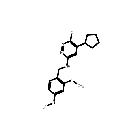 COc1ccc(CNc2cc(C3CCCC3)c(Cl)nn2)c(OC)c1